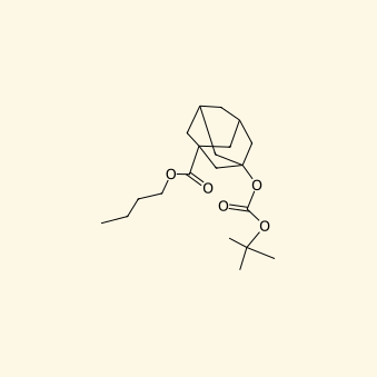 CCCCOC(=O)C12CC3CC(CC(OC(=O)OC(C)(C)C)(C3)C1)C2